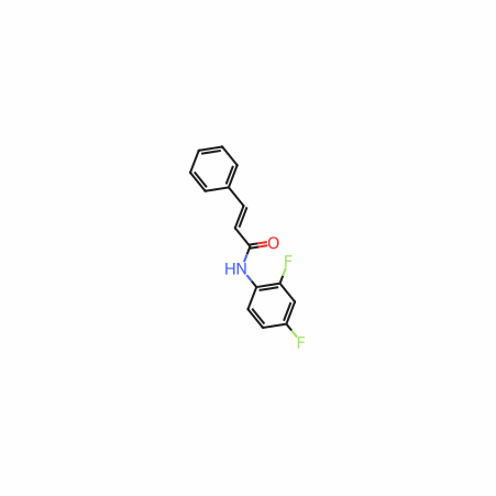 O=C(C=Cc1ccccc1)Nc1ccc(F)cc1F